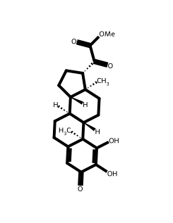 COC(=O)C(=O)[C@H]1CC[C@H]2[C@@H]3CCC4=CC(=O)C(O)=C(O)[C@]4(C)[C@H]3CC[C@]12C